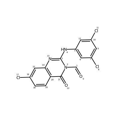 O=Cn1c(Nc2cc(Cl)cc(Cl)c2)nc2cc(Cl)ccc2c1=O